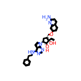 C=C[C@@]1(O)[C@@H](COc2ccc3ccc(N)nc3c2)C[C@@H](n2ccc3c(NCCc4ccccc4)ncnc32)[C@@H]1O